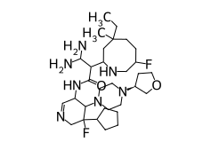 CCC1(C)CCC(F)CNC(C(C(=O)NC2C=NCC(F)(C3CCCC3)C2N2CCN([C@H]3CCOC3)CC2)C(N)N)C1